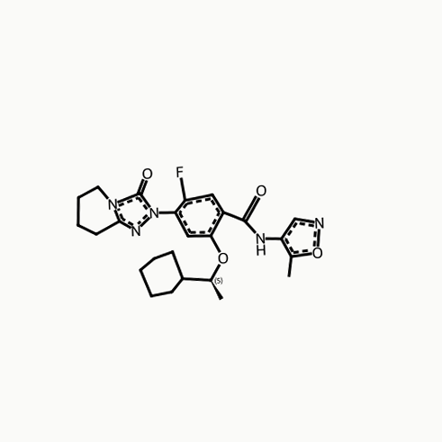 Cc1oncc1NC(=O)c1cc(F)c(-n2nc3n(c2=O)CCCC3)cc1O[C@@H](C)C1CCCCC1